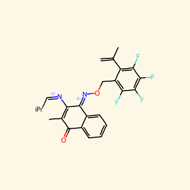 C=C(C)c1c(F)c(F)c(F)c(F)c1CO/N=C1/C(/N=C\C(C)C)=C(C)C(=O)c2ccccc21